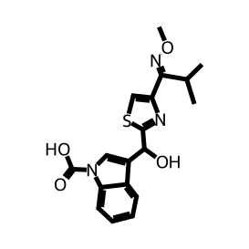 CON=C(c1csc(C(O)c2cn(C(=O)O)c3ccccc23)n1)C(C)C